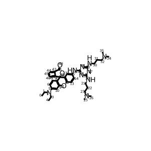 CCN(CC)c1ccc2c(c1)Oc1ccc(Nc3nc(NCCCN(C)C)nc(NCCCN(C)C)n3)cc1C21OC(=O)c2ccccc21